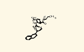 CCCNC(=O)c1ccc(C(=O)O)c(Nc2nccc(-c3ccc4ccccc4c3)n2)c1